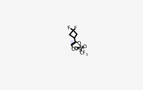 O=C(O)/C=C(\OS(=O)(=O)C(F)(F)F)C1CC(F)(F)C1